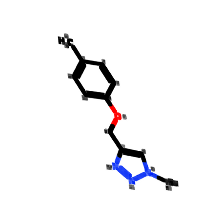 Cc1ccc(OCc2cn(C(C)(C)C)nn2)cc1